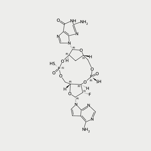 Nc1nc2c(ncn2[C@@H]2O[C@@H]3CO[P@@](=O)(S)O[C@H]4[C@H](F)[C@H](n5ccc6c(N)ncnc65)O[C@@H]4CO[P@](=O)(S)O[C@@H]2C3)c(=O)[nH]1